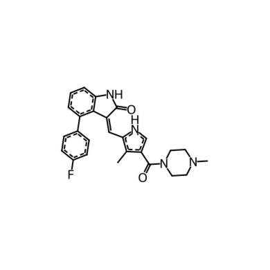 Cc1c(C(=O)N2CCN(C)CC2)c[nH]c1/C=C1\C(=O)Nc2cccc(-c3ccc(F)cc3)c21